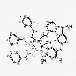 CCc1ccc(Cc2cc([C@]3(O)O[C@H](COCc4ccccc4)[C@@H](OCc4ccccc4)[C@H](OCc4ccccc4)[C@H]3OCc3ccccc3)c(OC)cc2Cl)cc1